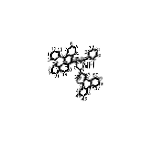 C1=C(c2c3ccccc3c(-c3ccccc3)c3c2ccc2ccccc23)NC(c2ccccc2)NC1c1ccc2c3ccccc3c3ccccc3c2c1